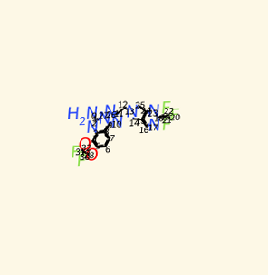 Nc1nc2c3c(ccc2c2nc(CN4Cc5cnc(C(F)(F)F)nc5C4)nn12)OC(F)(F)O3